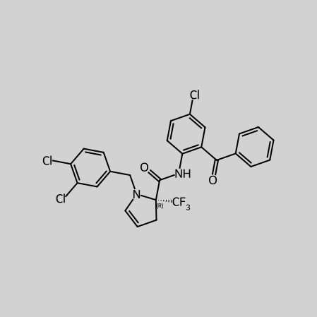 O=C(c1ccccc1)c1cc(Cl)ccc1NC(=O)[C@@]1(C(F)(F)F)CC=CN1Cc1ccc(Cl)c(Cl)c1